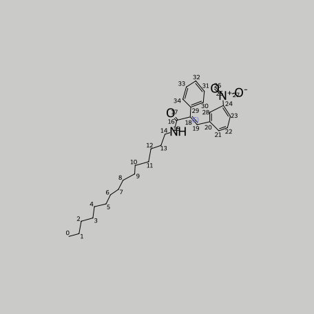 CCCCCCCCCCCCCCCNC(=O)/C(=C/c1cccc([N+](=O)[O-])c1)c1ccccc1